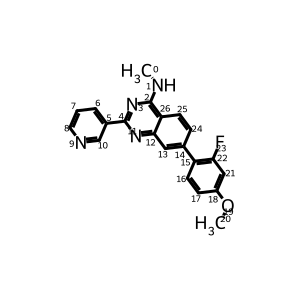 CNc1nc(-c2cccnc2)nc2cc(-c3ccc(OC)cc3F)ccc12